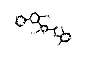 CC1=C(c2cc(C(=O)Nc3c(F)cncc3F)nn2C)CN(c2cnccn2)CC1